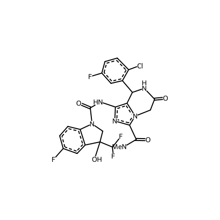 CNC(=O)c1nc(NC(=O)N2CC(O)(C(F)F)c3cc(F)ccc32)c2n1CC(=O)NC2c1cc(F)ccc1Cl